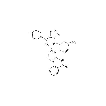 C[C@H](Nc1cc(-c2nc(N3CCNCC3)n3cnnc3c2-c2cccc(C(F)(F)F)c2)ccn1)c1ccccc1